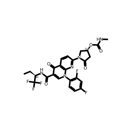 CC[C@@H](NC(=O)c1cn(-c2ccc(F)cc2F)c2nc(N3C[C@@H](OC(=O)NC)CC3=O)ccc2c1=O)C(F)(F)F